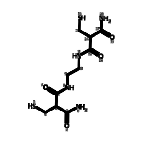 NC(=O)C(CS)C(=O)NCCNC(=O)C(CS)C(N)=O